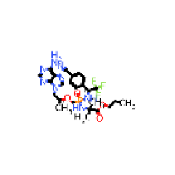 CCCOC(=O)C(C)(C)NP(=O)(CO[C@@H](C)Cn1cnc2c(N)ncnc21)N[C@@H](c1ccc(C#N)cc1)C(F)(F)F